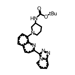 CC(C)(C)OC(=O)NC1CCCN(c2cccc3ccc(-c4nnc5ccccn45)nc23)C1